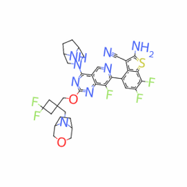 N#Cc1c(N)sc2c(F)c(F)cc(-c3ncc4c(N5CC6CCC(C5)N6)nc(OCC5(CN6C7CCC6COC7)CC(F)(F)C5)nc4c3F)c12